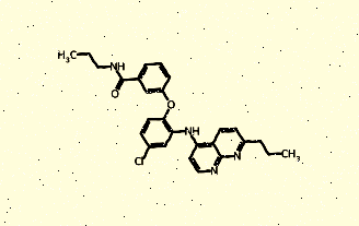 CCCNC(=O)c1cccc(Oc2ccc(Cl)cc2Nc2ccnc3nc(CCC)ccc23)c1